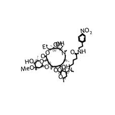 CC[C@H]1OC(=O)[C@H](C)[C@@H](O[C@H]2C[C@@](C)(OC)[C@@H](O)[C@H](C)O2)[C@H](C)[C@@H](O[C@@H]2O[C@H](C)C[C@H](N(C)CCCCC(=O)NCCc3ccc([N+](=O)[O-])cc3)C2O)[C@](C)(O)C[C@@H](C)CN(C)[C@H](C)[C@@H](O)[C@]1(C)O